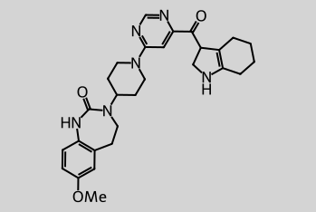 COc1ccc2c(c1)CCN(C1CCN(c3cc(C(=O)C4CNC5=C4CCCC5)ncn3)CC1)C(=O)N2